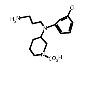 NCCCN(c1cccc(Cl)c1)C1CCCN(C(=O)O)C1